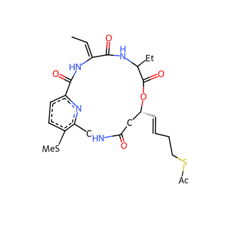 C/C=C1\NC(=O)c2ccc(SC)c(n2)CNC(=O)C[C@@H](/C=C/CCSC(C)=O)OC(=O)C(CC)NC1=O